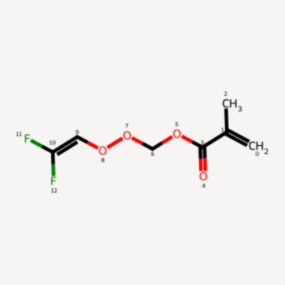 C=C(C)C(=O)OCOOC=C(F)F